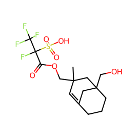 CC1(COC(=O)C(F)(C(F)(F)F)S(=O)(=O)O)C=C2CCCC(CO)(C2)C1